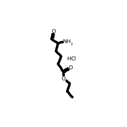 CCCOC(=O)CCCC(N)C=O.Cl